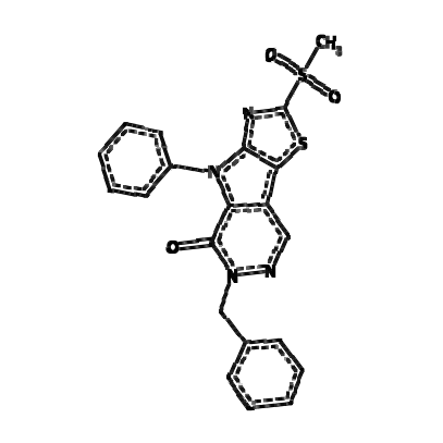 CS(=O)(=O)c1nc2c(s1)c1cnn(Cc3ccccc3)c(=O)c1n2-c1ccccc1